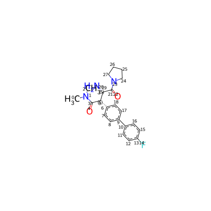 CN(C)C(=O)[C@@H](c1ccc(-c2ccc(F)cc2)cc1)[C@H](N)C(=O)N1CCCC1